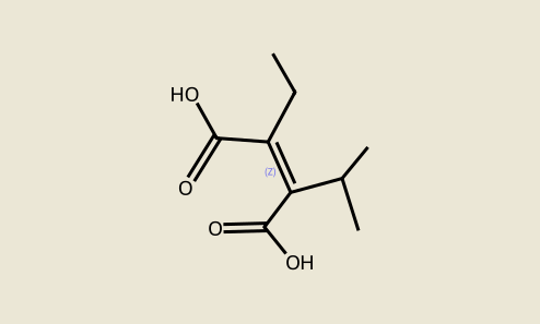 CC/C(C(=O)O)=C(/C(=O)O)C(C)C